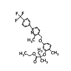 CCOC(=O)C(C)(C)Oc1cc(OCc2ccc(-c3ccc(C(F)(F)F)cc3)nc2C)ccc1C